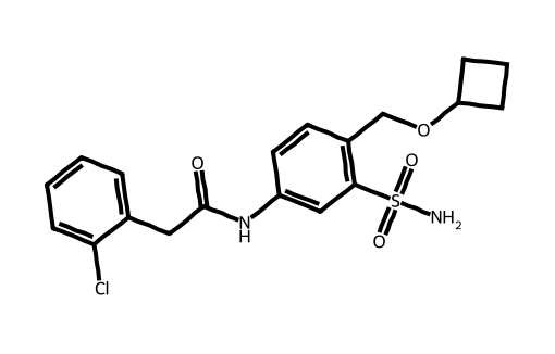 NS(=O)(=O)c1cc(NC(=O)Cc2ccccc2Cl)ccc1COC1CCC1